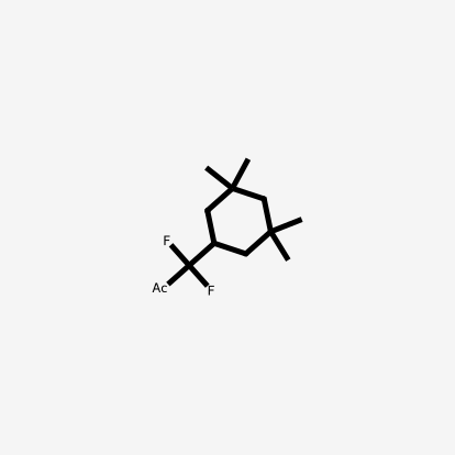 CC(=O)C(F)(F)C1CC(C)(C)CC(C)(C)C1